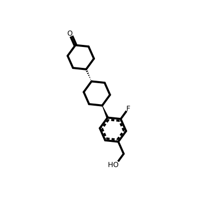 O=C1CCC([C@H]2CC[C@H](c3ccc(CO)cc3F)CC2)CC1